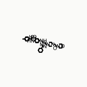 Cc1ccc(C(=O)Nc2ccc(Nc3nc(C4CCCCC4)nc(N4CCN(CC(=O)N5CCOCC5)CC4)n3)cc2O)cc1